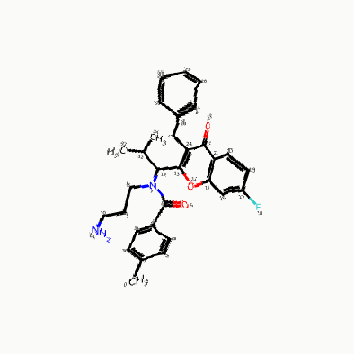 Cc1ccc(C(=O)N(CCCN)C(c2oc3cc(F)ccc3c(=O)c2Cc2ccccc2)C(C)C)cc1